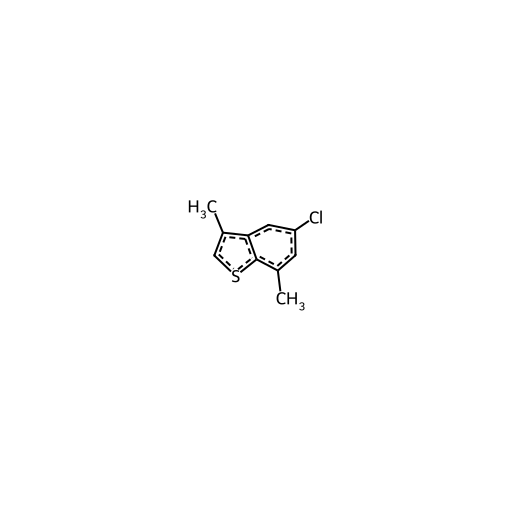 Cc1csc2c(C)cc(Cl)cc12